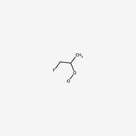 CC([CH]F)O[O]